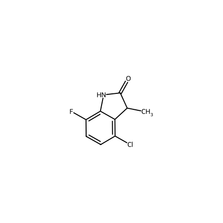 CC1C(=O)Nc2c(F)ccc(Cl)c21